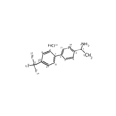 CC(N)c1ccc(-c2ccc(C(F)(F)F)cc2)cn1.Cl